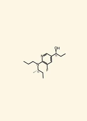 CCCN(c1ncc([C@@H](O)CC)cc1F)[C@@H](C)CC